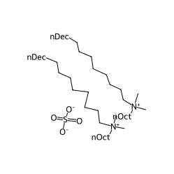 CCCCCCCCCCCCCCCCCC[N+](C)(C)CCCCCCCC.CCCCCCCCCCCCCCCCCC[N+](C)(C)CCCCCCCC.O=S(=O)([O-])[O-]